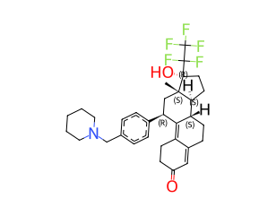 C[C@]12C[C@H](c3ccc(CN4CCCCC4)cc3)C3=C4CCC(=O)C=C4CC[C@H]3[C@@H]1CC[C@]2(O)C(F)(F)C(F)(F)F